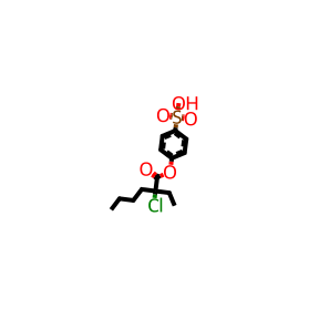 CCCCC(Cl)(CC)C(=O)Oc1ccc(S(=O)(=O)O)cc1